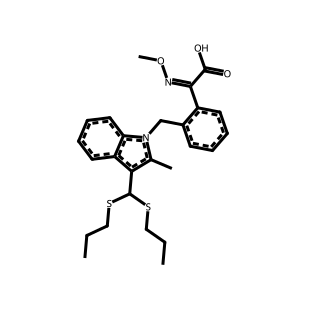 CCCSC(SCCC)c1c(C)n(Cc2ccccc2C(=NOC)C(=O)O)c2ccccc12